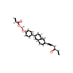 C=CC(=O)CC#Cc1ccc2cc(-c3ccc(OCOC(=O)C=C)cc3)ccc2c1